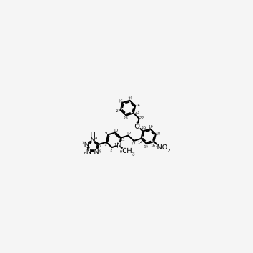 CN1CC(c2nnn[nH]2)=CC=C1CCc1cc([N+](=O)[O-])ccc1OCc1ccccc1